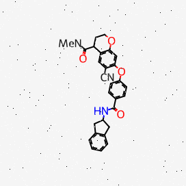 CNC(=O)C1CCOc2cc(Oc3ccc(C(=O)NC4Cc5ccccc5C4)cc3)c(C#N)cc21